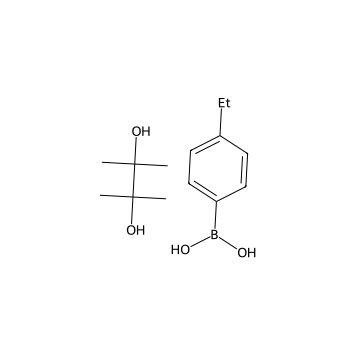 CC(C)(O)C(C)(C)O.CCc1ccc(B(O)O)cc1